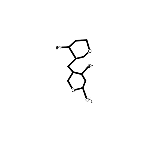 CC(C)C1CCOCC1CC1COC(C(F)(F)F)CC1C(C)C